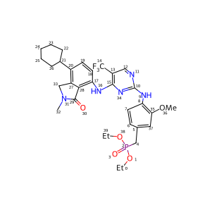 CCOP(=O)(Cc1ccc(Nc2ncc(C(F)(F)F)c(Nc3ccc(C4CC[CH]CC4)c4c3C(=O)N(C)C4)n2)c(OC)c1)OCC